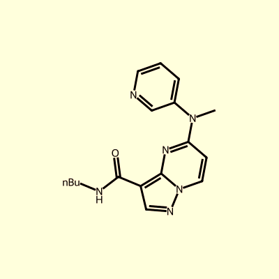 CCCCNC(=O)c1cnn2ccc(N(C)c3cccnc3)nc12